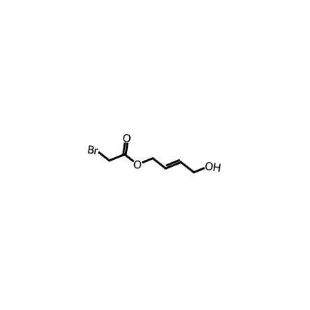 O=C(CBr)OCC=CCO